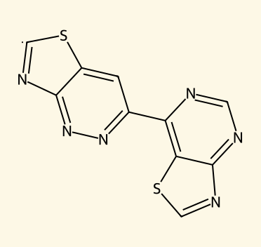 [c]1nc2nnc(-c3ncnc4ncsc34)cc2s1